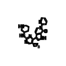 O=c1c2[nH]cc(-c3nc(NC4CCCNC4)ncc3C(F)(F)F)c2ccn1-c1ccccn1